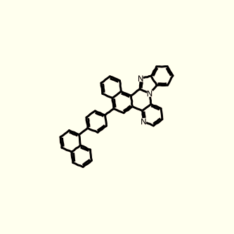 c1ccc2c(-c3ccc(-c4cc5c6ncccc6n6c7ccccc7nc6c5c5ccccc45)cc3)cccc2c1